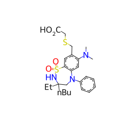 CCCCC1(CC)CN(c2ccccc2)c2cc(N(C)C)c(CSCC(=O)O)cc2S(=O)(=O)N1